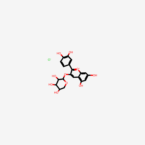 Oc1cc(O)c2cc(OC3OCC(O)C(O)C3O)c(-c3ccc(O)c(O)c3)[o+]c2c1.[Cl-]